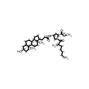 CNC(=O)[C@@H]1C[C@H](NC(=O)CCC2CCC3C4CCC5C[C@H](O)CC[C@]5(C)C4CC[C@]23C)CN1C(=O)C(N)CCCCN